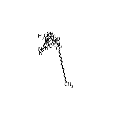 CCCCCCCCCCCCCCCCCCOCCOP(=O)(OC)O[C@H]1O[C@H](n2ccc(-n3cncn3)nc2=O)[C@@H]2OC(C)(C)O[C@@H]12